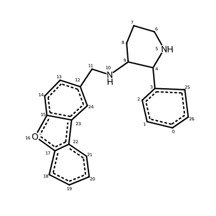 c1ccc(C2NCCCC2NCc2ccc3oc4ccccc4c3c2)cc1